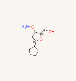 NOC1C[C@H](C2CCCC2)O[C@@H]1CO